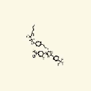 CCCCOC(=O)C(C)(C)Oc1ccc(CCCc2nc(-c3ccc(C(F)(F)F)cc3)nn2-c2ccc([N+](=O)[O-])cc2F)cc1